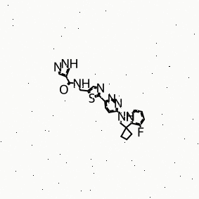 O=C(NCc1cnc(-c2ccc(NCC3(c4ncccc4F)CCC3)nn2)s1)c1cn[nH]c1